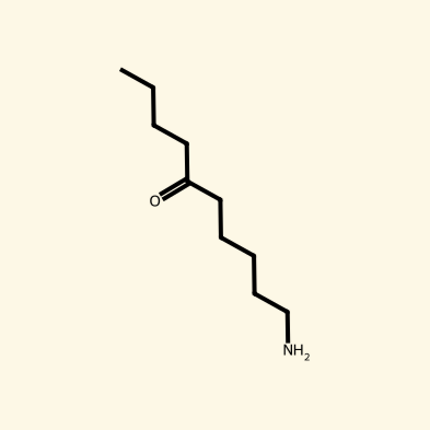 CCCCC(=O)CCCCCN